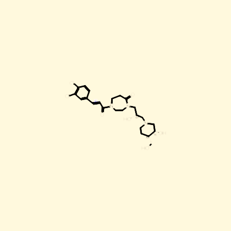 O=C(/C=C/c1ccc(Cl)c(Cl)c1)N1CCC(=O)N(C[C@@H](O)CN2CC[C@@H](CO)[C@@H](O)C2)CC1